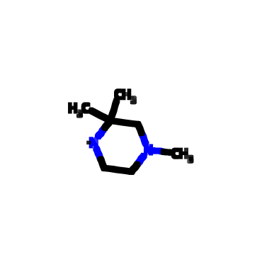 CN1CC[N]C(C)(C)C1